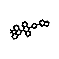 CC1(C)c2cccc3cc(-c4c5ccccc5c(-c5ccc(-c6ccc7ccccc7c6)cc5)c5ccccc45)c4cccc1c4c23